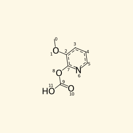 COc1cccnc1OC(=O)O